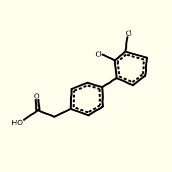 O=C(O)Cc1ccc(-c2cccc(Cl)c2Cl)cc1